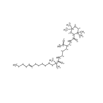 CCCCC=CCCCCCCC(C)(C)C(=O)NCCCC(CNC(=O)C1OC(C)(C)OCC1(C)C)C(=O)O